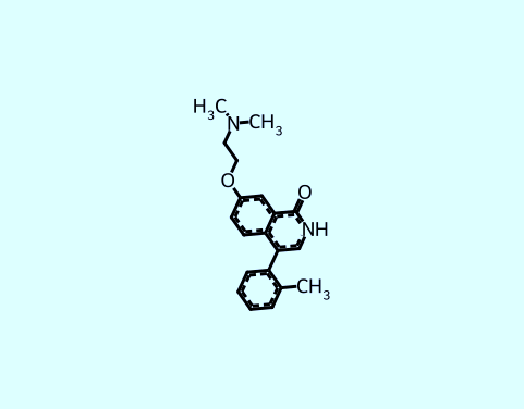 Cc1ccccc1-c1c[nH]c(=O)c2cc(OCCN(C)C)ccc12